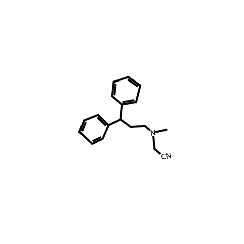 CN(CC#N)CCC(c1ccccc1)c1ccccc1